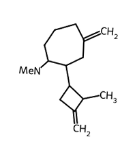 C=C1CCCC(NC)C(C2CC(=C)C2C)C1